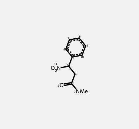 CNC(=O)CC(c1ccccc1)[N+](=O)[O-]